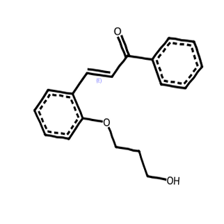 O=C(/C=C/c1ccccc1OCCCO)c1ccccc1